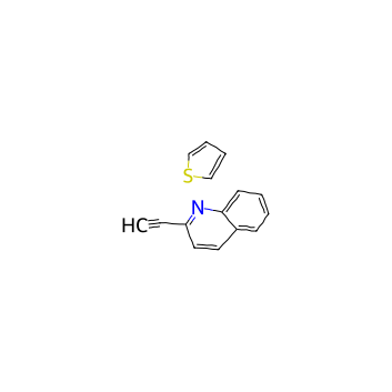 C#Cc1ccc2ccccc2n1.c1ccsc1